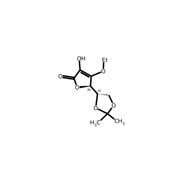 CCOC1=C(O)C(=O)O[C@@H]1[C@@H]1COC(C)(C)O1